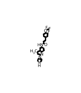 Cc1cc(N2CC3CC2CN3)nc2ccc(NC(=O)C=Cc3ccc(OC(F)(F)F)cc3)cc12